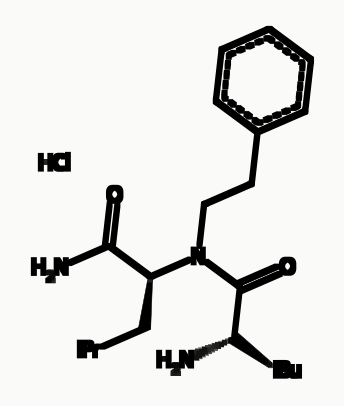 CC[C@H](C)[C@H](N)C(=O)N(CCc1ccccc1)[C@@H](CC(C)C)C(N)=O.Cl